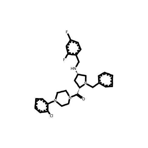 O=C([C@@H]1C[C@H](NCc2ccc(F)cc2F)CN1Cc1ccccc1)N1CCN(c2ccccc2Cl)CC1